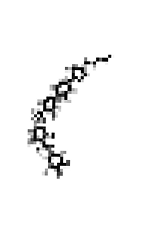 CCCCCc1ccc(-c2ccc(-c3ccc(C(F)(F)Oc4cc(F)c(C(=O)Oc5cc(F)c(F)c(F)c5)c(F)c4)c(F)c3)c(F)c2)cc1